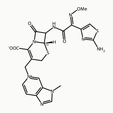 CON=C(C(=O)NC1C(=O)N2C(C(=O)[O-])=C(C[n+]3ccc4ncn(C)c4c3)CS[C@@H]12)c1csc(N)n1